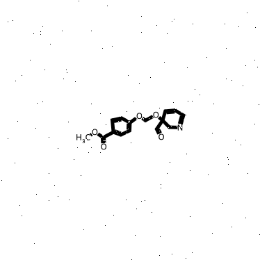 COC(=O)c1ccc(OCOC2(C=O)C=CC=NC2)cc1